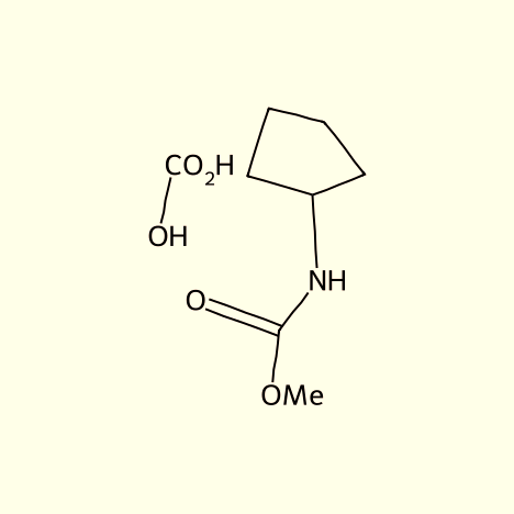 COC(=O)NC1CCCC1.O=C(O)O